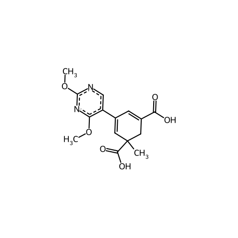 COc1ncc(C2=CC(C)(C(=O)O)CC(C(=O)O)=C2)c(OC)n1